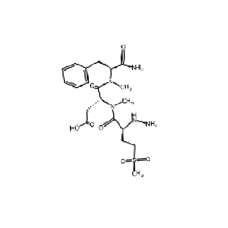 CN(C(=O)[C@H](CCS(C)(=O)=O)NN)[C@H](CC(=O)O)C(=O)N(C)[C@@H](Cc1ccccc1)C(N)=O